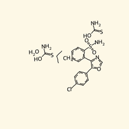 C.CCC.NC(O)=S.NC(O)=S.NS(=O)(=O)c1ccccc1-c1ncoc1-c1ccc(Cl)cc1.O